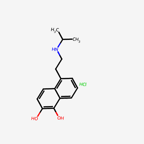 CC(C)NCCc1cccc2c(O)c(O)ccc12.Cl